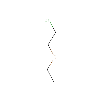 CCSCCBr